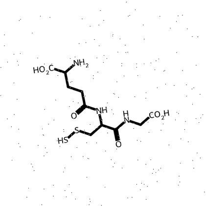 NC(CCC(=O)NC(CSS)C(=O)NCC(=O)O)C(=O)O